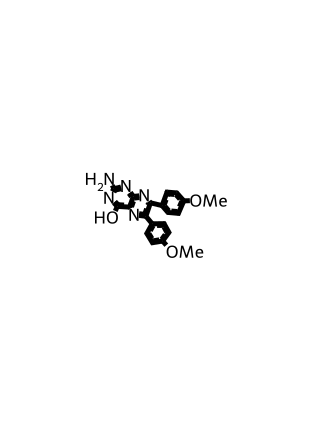 COc1ccc(-c2nc3nc(N)nc(O)c3nc2-c2ccc(OC)cc2)cc1